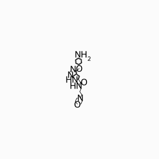 Nc1ccc(Oc2ncnc3[nH]c(C(=O)NCCCN4CCOCC4)cc23)cc1